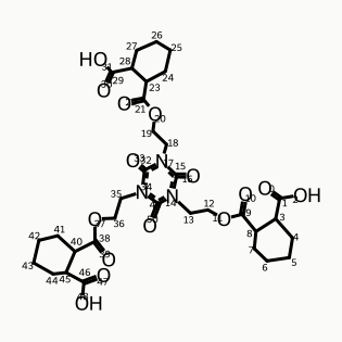 O=C(O)C1CCCCC1C(=O)OCCn1c(=O)n(CCOC(=O)C2CCCCC2C(=O)O)c(=O)n(CCOC(=O)C2CCCCC2C(=O)O)c1=O